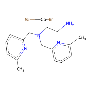 Cc1cccc(CN(CCN)Cc2cccc(C)n2)n1.[Br][Co][Br]